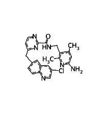 Cc1cc(N)nc(C)c1CNC(=O)c1nccc(Cc2ccc3ncc(Cl)cc3c2)n1